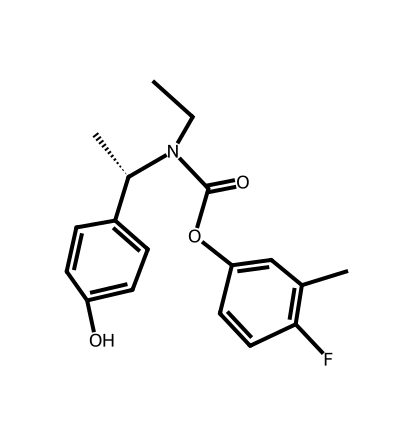 CCN(C(=O)Oc1ccc(F)c(C)c1)[C@@H](C)c1ccc(O)cc1